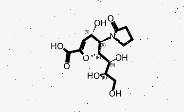 O=C(O)C1=C[C@H](O)[C@@H](N2CCCC2=O)[C@H]([C@H](O)[C@H](O)CO)O1